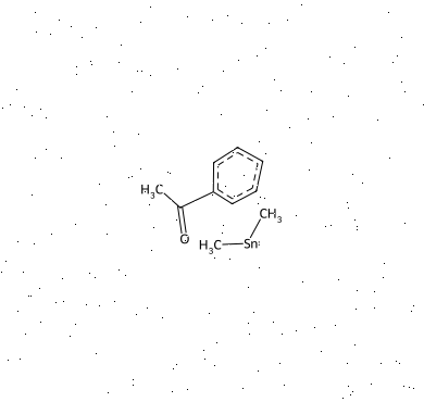 CC(=O)c1ccccc1.[CH3][Sn][CH3]